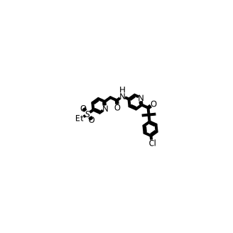 CCS(=O)(=O)c1ccc(CC(=O)Nc2ccc(C(=O)C(C)(C)c3ccc(Cl)cc3)nc2)nc1